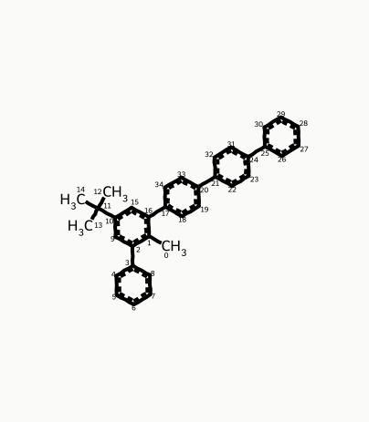 Cc1c(-c2ccccc2)cc(C(C)(C)C)cc1-c1ccc(-c2ccc(-c3ccccc3)cc2)cc1